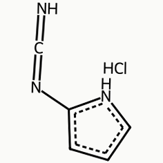 Cl.N=C=Nc1ccc[nH]1